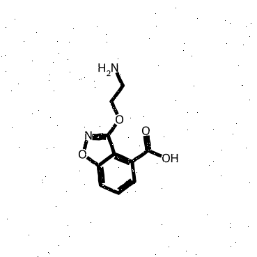 NCCOc1noc2cccc(C(=O)O)c12